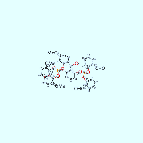 COc1ccc(C(=O)c2ccccc2OP(Oc2ccccc2C=O)Oc2ccccc2C=O)c(OP(Oc2ccccc2OC)Oc2ccccc2OC)c1